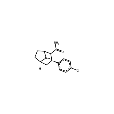 CN1C2CC[C@@H]1C[C@H](c1ccc(Cl)cc1)C2C(N)=O